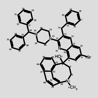 CN1CCC(O)(c2cc(Br)cc3cc(Cc4ccccc4)c(N4CCN(C(c5ccccc5)c5ccccc5)CC4)nc23)c2cccc3ccc1cc23